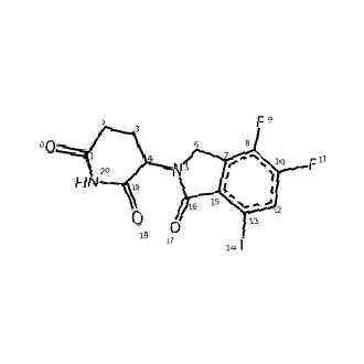 O=C1CCC(N2Cc3c(F)c(F)cc(I)c3C2=O)C(=O)N1